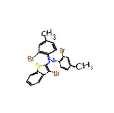 Cc1ccc(N(c2ccc(C)cc2Br)c2sc3ccccc3c2Br)c(Br)c1